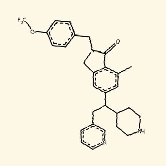 Cc1cc(C(Cc2cccnc2)C2CCNCC2)cc2c1C(=O)N(Cc1ccc(OC(F)(F)F)cc1)C2